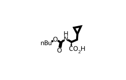 CCCCOC(=O)N[C@@H](CC1CC1)C(=O)O